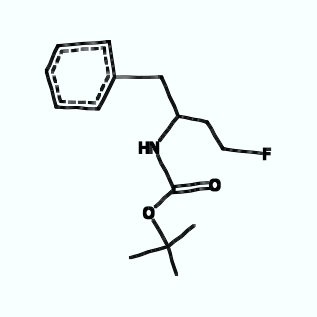 CC(C)(C)OC(=O)NC(CCF)Cc1ccccc1